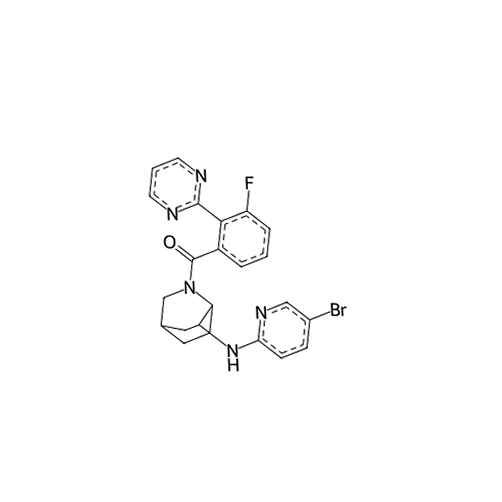 O=C(c1cccc(F)c1-c1ncccn1)N1CC2CCC1C(Nc1ccc(Br)cn1)C2